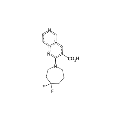 O=C(O)c1cc2cnccc2nc1N1CCCC(F)(F)CC1